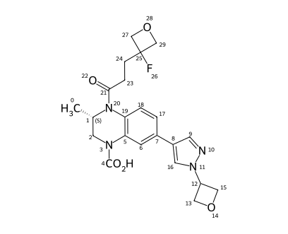 C[C@H]1CN(C(=O)O)c2cc(-c3cnn(C4COC4)c3)ccc2N1C(=O)CCC1(F)COC1